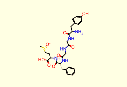 C[S+]([O-])CC[C@@H](NC(=O)[C@@H](Cc1ccccc1)NC(=O)CNC(=O)CNC(=O)[C@H](N)Cc1ccc(O)cc1)C(=O)O